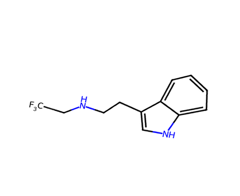 FC(F)(F)CNCCc1c[nH]c2ccccc12